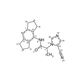 C[C](C(=O)Nc1c2c(cc3c1CCC3)CCC2)n1cncc1C#N